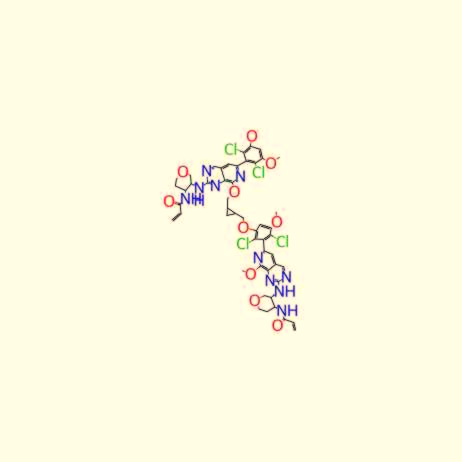 C=CC(=O)N[C@H]1CCOC[C@H]1Nc1ncc2cc(-c3c(Cl)c(OC)cc(OCC4CC4COc4nc(-c5c(Cl)c(OC)cc(OC)c5Cl)cc5cnc(N[C@@H]6COCC[C@@H]6NC(=O)C=C)nc45)c3Cl)nc(OC)c2n1